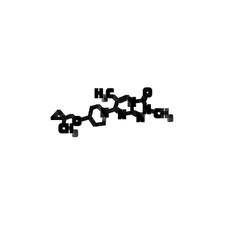 Cc1cn2c(=O)n(C)nc2nc1N1CCC(OCC2(C)CC2)CC1